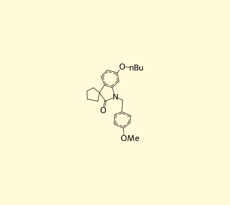 CCCCOc1ccc2c(c1)N(Cc1ccc(OC)cc1)C(=O)C21CCCC1